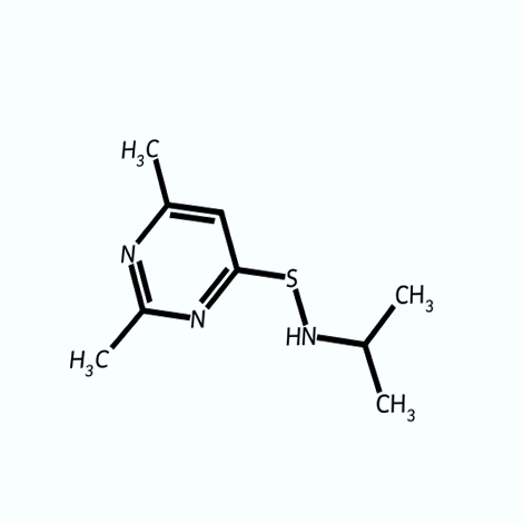 Cc1cc(SNC(C)C)nc(C)n1